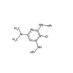 CCCNc1cc(N(C)C)nc(NCCC)[n+]1[O-]